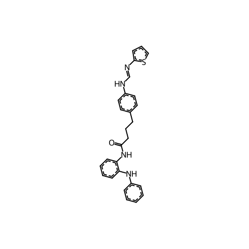 O=C(CCCc1ccc(NC=Nc2cccs2)cc1)Nc1ccccc1Nc1ccccc1